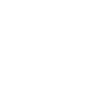 COCOC(=O)c1ccccc1.Cc1ccc(C)cc1